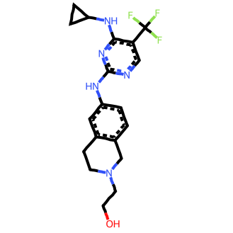 OCCN1CCc2cc(Nc3ncc(C(F)(F)F)c(NC4CC4)n3)ccc2C1